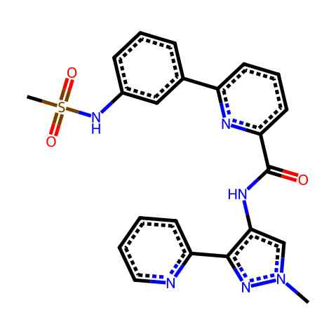 Cn1cc(NC(=O)c2cccc(-c3cccc(NS(C)(=O)=O)c3)n2)c(-c2ccccn2)n1